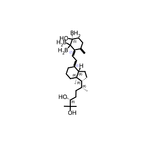 BC1(B)/C(=C/C=C2\CCC[C@]3(C)[C@@H]([C@H](C)CC[C@@H](O)C(C)(C)O)CC[C@@H]23)C(=C)CC[C@]1(B)O